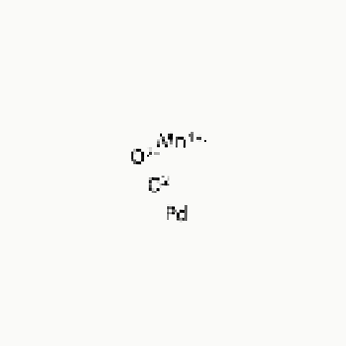 [Mn+4].[O-2].[O-2].[Pd]